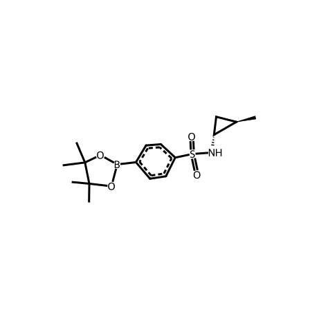 C[C@@H]1C[C@H]1NS(=O)(=O)c1ccc(B2OC(C)(C)C(C)(C)O2)cc1